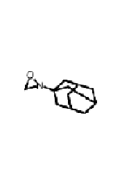 C1C2CC3CC1CC(N1CO1)(C2)C3